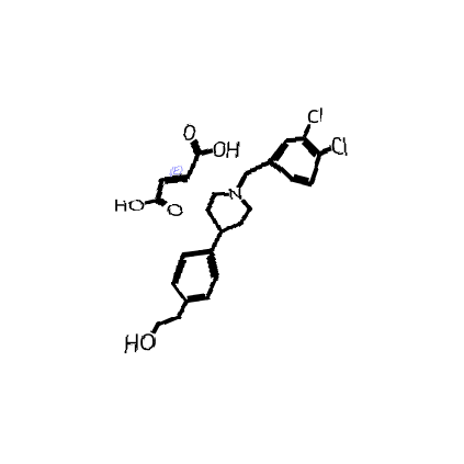 O=C(O)/C=C/C(=O)O.OCCc1ccc(C2CCN(Cc3ccc(Cl)c(Cl)c3)CC2)cc1